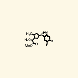 COC(=O)C(C)C1CC(n2cnc3cc(F)c(F)cc32)CC1C